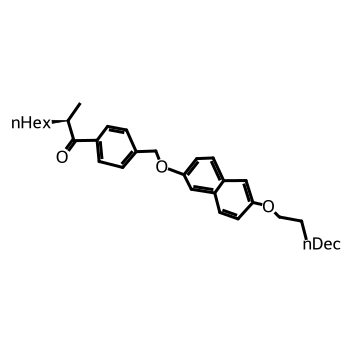 CCCCCCCCCCCCOc1ccc2cc(OCc3ccc(C(=O)[C@H](C)CCCCCC)cc3)ccc2c1